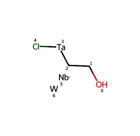 OC[CH2][Ta][Cl].[Nb].[W]